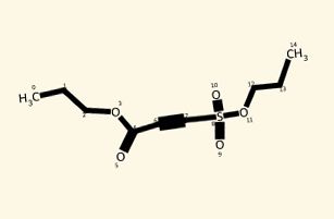 CCCOC(=O)C#CS(=O)(=O)OCCC